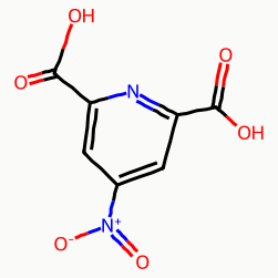 O=C(O)c1cc([N+](=O)[O-])cc(C(=O)O)n1